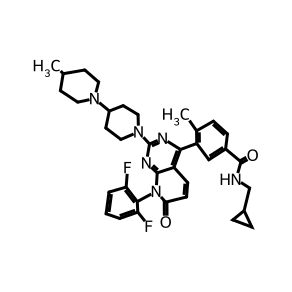 Cc1ccc(C(=O)NCC2CC2)cc1-c1nc(N2CCC(N3CCC(C)CC3)CC2)nc2c1ccc(=O)n2-c1c(F)cccc1F